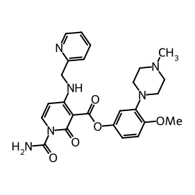 COc1ccc(OC(=O)c2c(NCc3ccccn3)ccn(C(N)=O)c2=O)cc1N1CCN(C)CC1